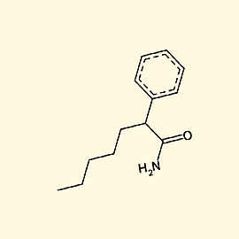 CCCCCC(C(N)=O)c1ccccc1